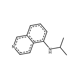 CC(C)Nc1cccc2cnccc12